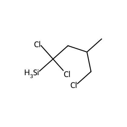 CC(CCl)CC([SiH3])(Cl)Cl